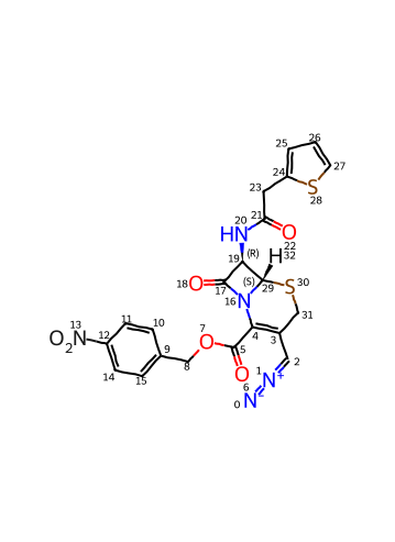 [N-]=[N+]=CC1=C(C(=O)OCc2ccc([N+](=O)[O-])cc2)N2C(=O)[C@@H](NC(=O)Cc3cccs3)[C@@H]2SC1